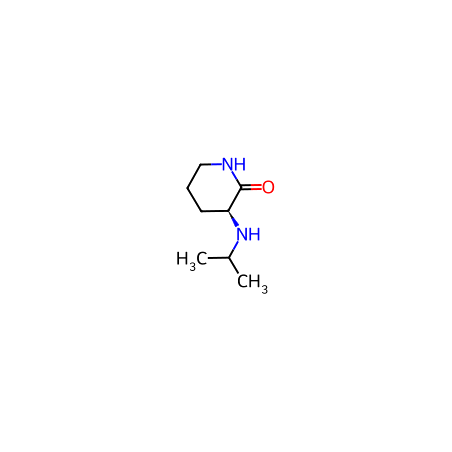 CC(C)N[C@H]1CCCNC1=O